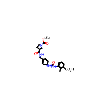 Cc1c(NC(=O)NC2C=CC(CNC(=O)C3CCN(C(=O)OC(C)(C)C)C3)=CC2)cccc1C(=O)O